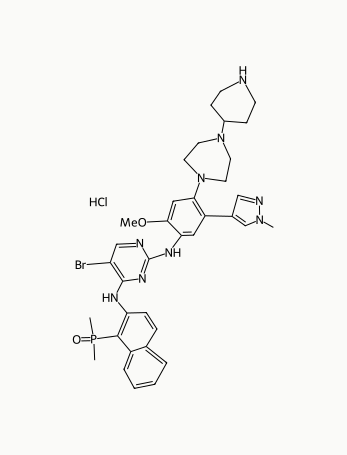 COc1cc(N2CCN(C3CCNCC3)CC2)c(-c2cnn(C)c2)cc1Nc1ncc(Br)c(Nc2ccc3ccccc3c2P(C)(C)=O)n1.Cl